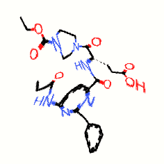 CCOC(=O)N1CCN(C(=O)[C@H](CCC(=O)O)NC(=O)c2cc(NC(=O)CC)nc(-c3ccccc3)n2)CC1